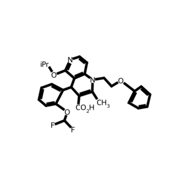 CC1=C(C(=O)O)C(c2ccccc2OC(F)F)c2c(ccnc2OC(C)C)N1CCOc1ccccc1